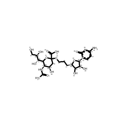 CC(=O)N[C@H]1C([C@H](O)[C@H](O)CO)OC(OCCC[C@H]2O[C@@H](n3ccc(N)nc3=O)[C@@H](O)C2O)(C(=O)O)C[C@H]1O